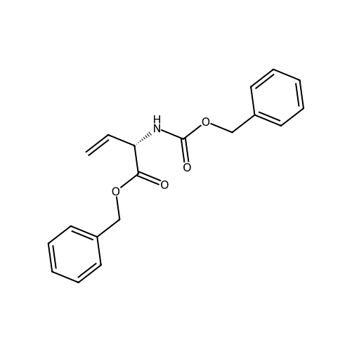 C=C[C@H](NC(=O)OCc1ccccc1)C(=O)OCc1ccccc1